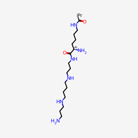 CC(C)C(=O)NCCCC[C@@H](N)C(=O)NCCCNCCCCNCCCN